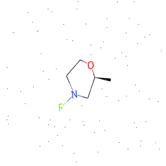 C[C@H]1CN(F)CCO1